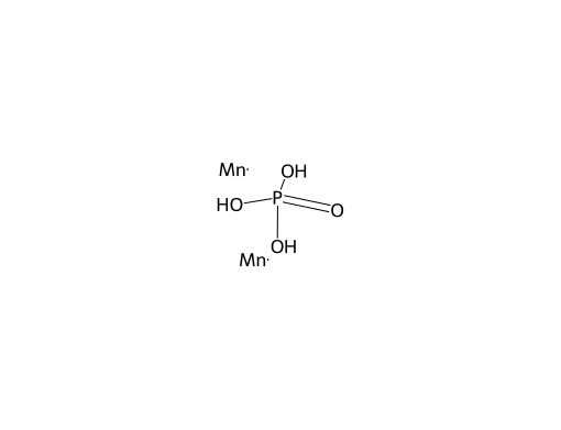 O=P(O)(O)O.[Mn].[Mn]